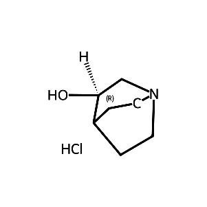 Cl.O[C@H]1CN2CCC1CC2